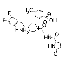 Cc1ccc(S(=O)(=O)O)cc1.N[C@H](Cc1cc(F)c(F)cc1F)C1CCN(C(=O)CCNC(=O)C2CCC(=O)N2)CC1